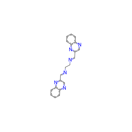 C(=NCCN=Cc1cnc2ccccc2n1)c1cnc2ccccc2n1